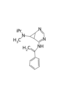 C=C(NC1=NC=NC2C1C2N(C)C(C)C)c1ccccc1